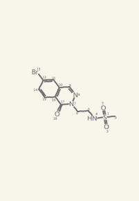 CS(=O)(=O)NCCn1ncc2cc(Br)ccc2c1=O